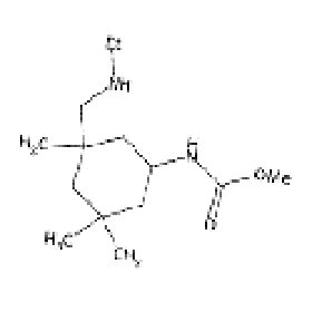 CCNCC1(C)CC(NC(=O)OC)CC(C)(C)C1